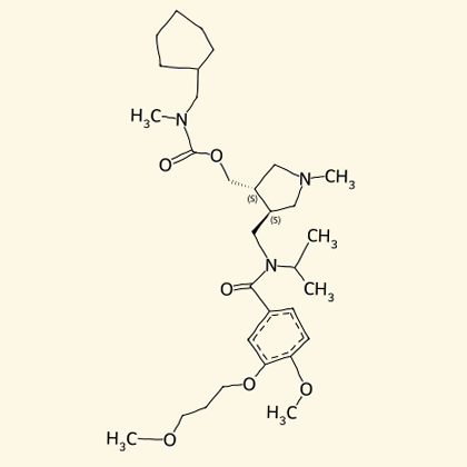 COCCCOc1cc(C(=O)N(C[C@@H]2CN(C)C[C@H]2COC(=O)N(C)CC2CCCCC2)C(C)C)ccc1OC